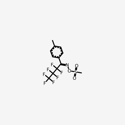 Cc1ccc(C(=NOS(C)(=O)=O)C(F)(F)C(F)(F)C(F)(F)F)cc1